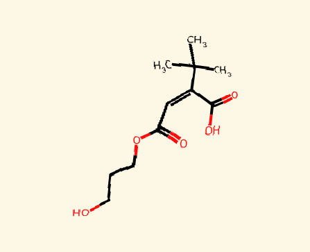 CC(C)(C)C(=CC(=O)OCCCO)C(=O)O